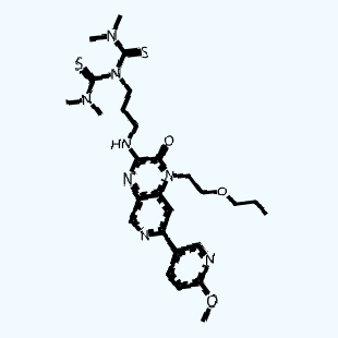 CCCOCCn1c(=O)c(NCCCN(C(=S)N(C)C)C(=S)N(C)C)nc2cnc(-c3ccc(OC)nc3)cc21